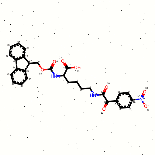 O=C(NC(CCCCNC(=O)C(=O)c1ccc([N+](=O)[O-])cc1)C(=O)O)OCC1c2ccccc2-c2ccccc21